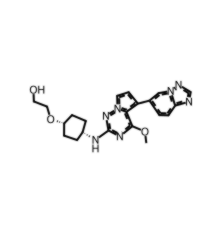 COc1nc(N[C@H]2CC[C@@H](OCCO)CC2)nn2ccc(-c3ccc4ncnn4c3)c12